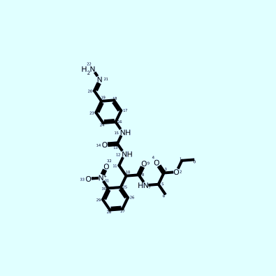 CCOC(=O)C(C)NC(=O)C(CNC(=O)Nc1ccc(C=NN)cc1)c1ccccc1[N+](=O)[O-]